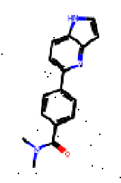 CN(C)C(=O)c1ccc(-c2ccc3[nH]ccc3n2)cc1